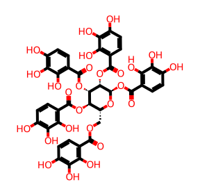 O=C(OC[C@H]1O[C@H](OC(=O)c2ccc(O)c(O)c2O)[C@@H](OC(=O)c2ccc(O)c(O)c2O)[C@@H](OC(=O)c2ccc(O)c(O)c2O)[C@@H]1OC(=O)c1ccc(O)c(O)c1O)c1ccc(O)c(O)c1O